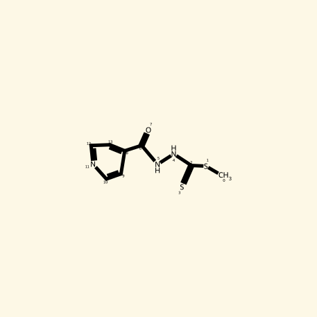 CSC(=S)NNC(=O)c1ccncc1